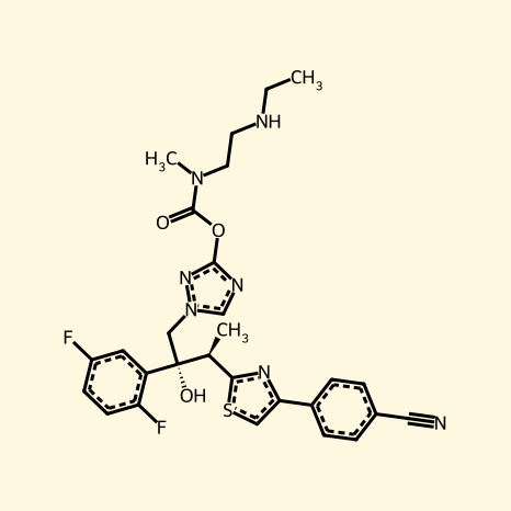 CCNCCN(C)C(=O)Oc1ncn(C[C@](O)(c2cc(F)ccc2F)[C@@H](C)c2nc(-c3ccc(C#N)cc3)cs2)n1